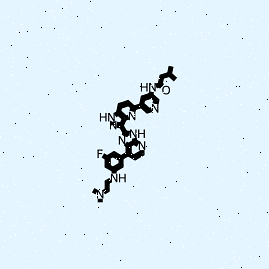 CC(C)CC(=O)Nc1cncc(-c2ccc3[nH]nc(-c4nc5c(-c6cc(F)cc(NCCN(C)C)c6)ccnc5[nH]4)c3n2)c1